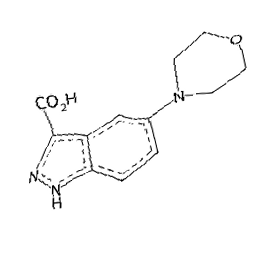 O=C(O)c1n[nH]c2ccc(N3CCOCC3)cc12